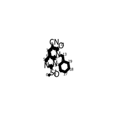 C[S+]([O-])c1ncc2cc(C#N)c(=O)n(CC3CCCCC3)c2n1